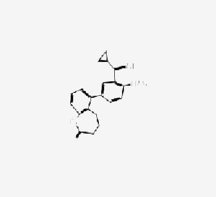 CNc1ccc(-c2cccc3c2CCCC(=O)N3)cc1C(=N)C1CC1